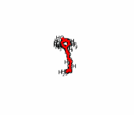 CO[C@H]1C[C@@H]2CC[C@@H](C)[C@@](O)(O2)C(=O)C(=O)N2CCCC[C@H]2C(=O)O[C@H]([C@H](N)C[C@H]2CC[C@H](O)CC2)C[C@@H](O)[C@H](C)/C=C(\C)[C@@H](O)[C@@H](OC)C(=N)[C@H](C)C[C@H](C)SC(COCC(=O)NCc2cnc(N3CCN(C(=O)CCOCCN4CCN(c5ncc(C(=O)NCCOCCC(=O)NCCCCn6nc(-c7ccc8oc(N)nc8c7)c7c(N)ncnc76)cn5)CC4)CC3)nc2)/C=C/C=C/1C